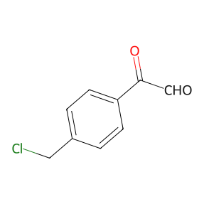 O=CC(=O)c1ccc(CCl)cc1